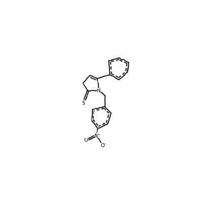 O=[N+]([O-])c1ccc(CN2C(=S)CC=C2c2ccccc2)cc1